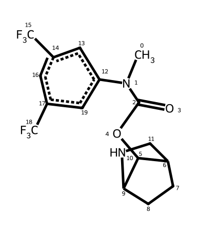 CN(C(=O)OC1C2CCC1NC2)c1cc(C(F)(F)F)cc(C(F)(F)F)c1